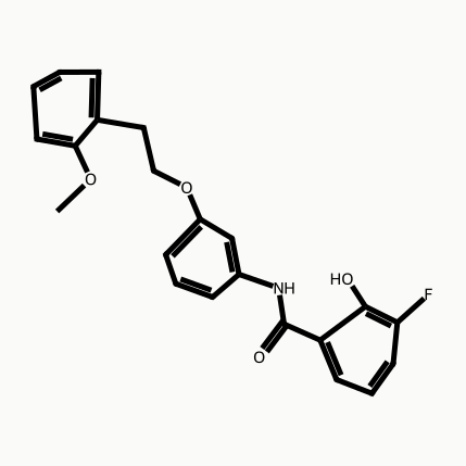 COc1ccccc1CCOc1cccc(NC(=O)c2cccc(F)c2O)c1